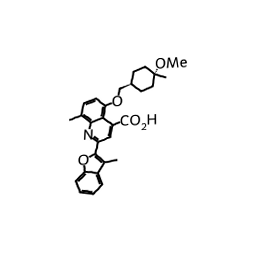 CO[C@]1(C)CC[C@@H](COc2ccc(C)c3nc(-c4oc5ccccc5c4C)cc(C(=O)O)c23)CC1